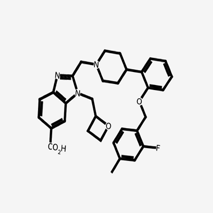 Cc1ccc(COc2ccccc2C2CCN(Cc3nc4ccc(C(=O)O)cc4n3CC3CCO3)CC2)c(F)c1